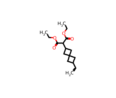 C=CC1CC2(C1)CC(C(C(=O)OCC)C(=O)OCC)C2